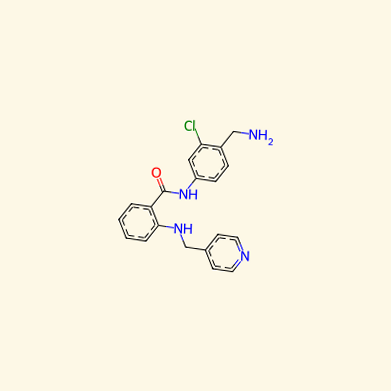 NCc1ccc(NC(=O)c2ccccc2NCc2ccncc2)cc1Cl